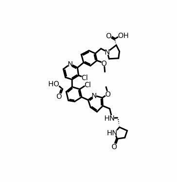 COc1cc(-c2nccc(-c3cccc(-c4ccc(CNC[C@@H]5CCC(=O)N5)c(OC)n4)c3Cl)c2Cl)ccc1CN1CCC[C@H]1C(=O)O.O=CO